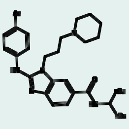 CCCCC(CCCC)NC(=O)c1ccc2nc(Nc3ccc(C(C)=O)cc3)n(CCCN3CCCCC3)c2c1